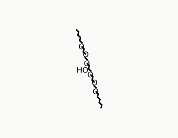 CCCCCCOCCOCCOCC(O)COCCOCCOCCCCCC